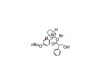 CCCCOc1ccc(C[N+]2(C)[C@@H]3CC[C@H]2C[C@@H](OC(=O)C(CO)c2ccccc2)C3)cc1.[Br-]